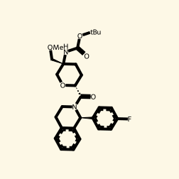 COC[C@@]1(NC(=O)OC(C)(C)C)CC[C@H](C(=O)N2CCc3ccccc3[C@@H]2c2ccc(F)cc2)OC1